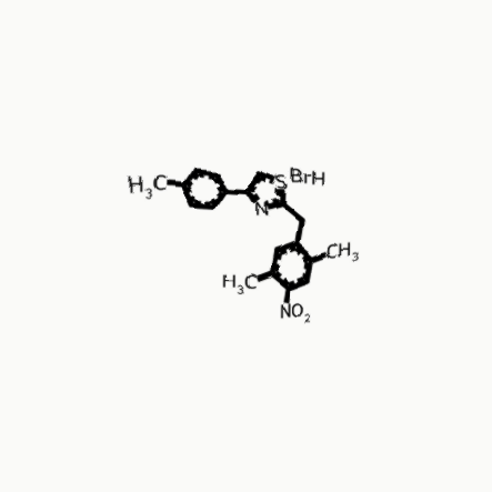 Br.Cc1ccc(-c2csc(Cc3cc(C)c([N+](=O)[O-])cc3C)n2)cc1